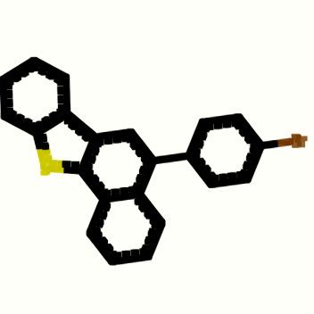 Brc1ccc(-c2cc3c4ccccc4sc3c3ccccc23)cc1